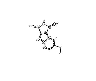 CCc1ccc2sc3c(c2c1)C(=O)OC3=O